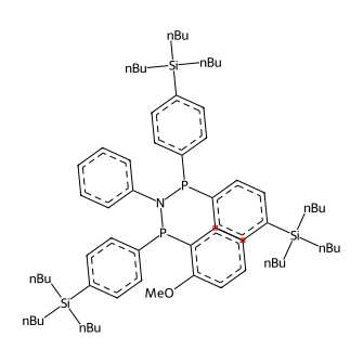 CCCC[Si](CCCC)(CCCC)c1ccc(P(c2ccc([Si](CCCC)(CCCC)CCCC)cc2)N(c2ccccc2)P(c2ccc([Si](CCCC)(CCCC)CCCC)cc2)c2ccccc2OC)cc1